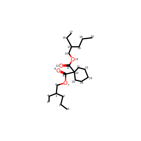 CCCC(CC)COC(=O)C1(C(=O)OCC(CC)CCC)CCCCC1